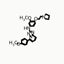 COc1ccc(-c2cccc3nc(Nc4ccc(OCCN5CCCC5)c(OC)c4)nn23)cc1